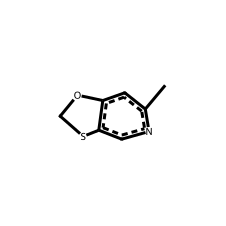 Cc1cc2c(cn1)SCO2